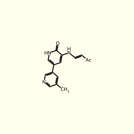 CC(=O)/C=C/Nc1cc(-c2cncc(C)c2)c[nH]c1=O